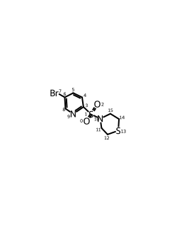 O=S(=O)(c1ccc(Br)cn1)N1CCSCC1